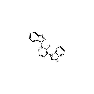 Ic1c(-n2cnc3ccccc32)cccc1-n1cnc2ccccc21